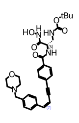 CC(C)(C)OC(=O)NC[C@H](NC(=O)c1ccc(C#C/C=C\c2ccc(CN3CCOCC3)cc2)cc1)C(=O)NO